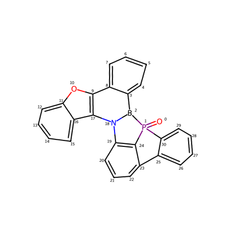 O=P12B3c4ccccc4-c4oc5ccccc5c4N3c3cccc(c31)-c1ccccc12